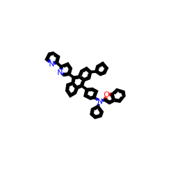 c1ccc(-c2ccc3c(-c4ccc(-c5ccccn5)nc4)c4ccccc4c(-c4ccc(N(c5ccccc5)c5cc6ccccc6o5)cc4)c3c2)cc1